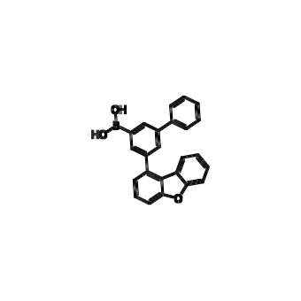 OB(O)c1cc(-c2ccccc2)cc(-c2cccc3oc4ccccc4c23)c1